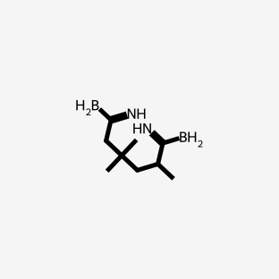 BC(=N)CC(C)(C)CC(C)C(B)=N